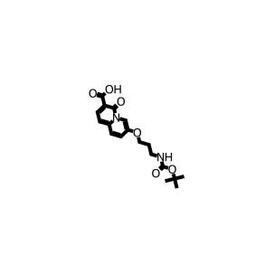 CC(C)(C)OC(=O)NCCCOc1ccc2ccc(C(=O)O)c(=O)n2c1